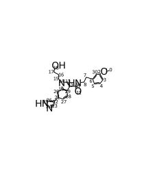 COc1cccc(CCNC(=O)c2cn(CCCO)c3cc(-c4cn[nH]c4)ccc23)c1